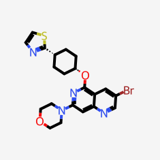 Brc1cnc2cc(N3CCOCC3)nc(O[C@H]3CC[C@@H](c4nccs4)CC3)c2c1